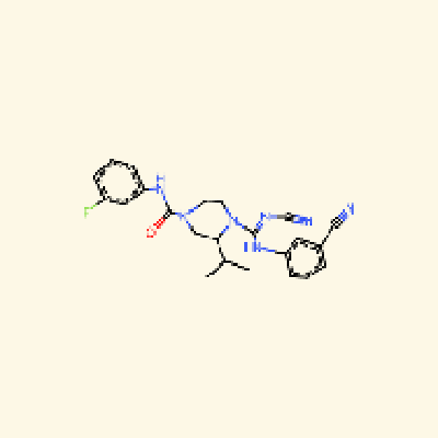 CC(C)C1CN(C(=O)Nc2cccc(F)c2)CCN1/C(=N/C#N)Nc1cccc(C#N)c1